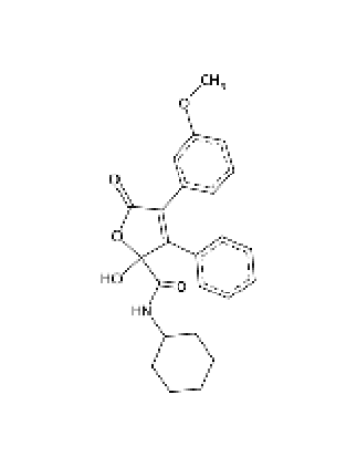 COc1cccc(C2=C(c3ccccc3)C(O)(C(=O)NC3CCCCC3)OC2=O)c1